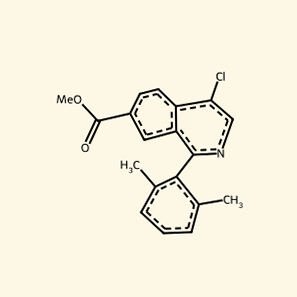 COC(=O)c1ccc2c(Cl)cnc(-c3c(C)cccc3C)c2c1